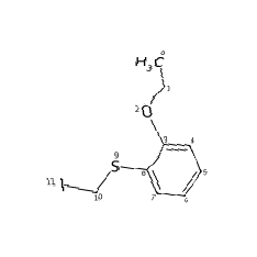 CCOc1ccccc1SCI